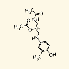 CC(=O)NC[C@@H](CNc1ccc(O)c(C)c1)OC(C)=O